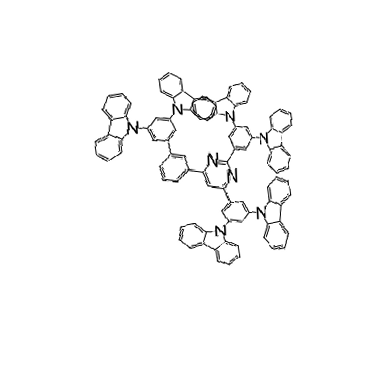 c1cc(-c2cc(-n3c4ccccc4c4ccccc43)cc(-n3c4ccccc4c4ccccc43)c2)cc(-c2cc(-c3cc(-n4c5ccccc5c5ccccc54)cc(-n4c5ccccc5c5ccccc54)c3)nc(-c3cc(-n4c5ccccc5c5ccccc54)cc(-n4c5ccccc5c5ccccc54)c3)n2)c1